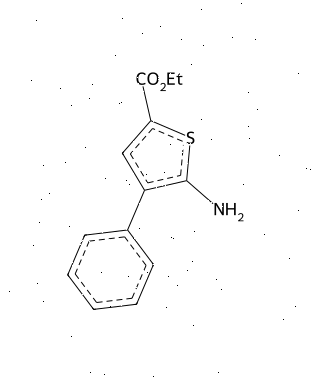 CCOC(=O)c1cc(-c2ccccc2)c(N)s1